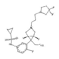 CCC1(c2cc(NS(=O)(=O)C3CC3)ccc2F)[C@@H]2CN(CCCN3CCC(F)(F)C3)C[C@@H]21.Cl